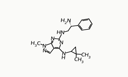 Cn1ncc2c(NC3CC3(C)C)nc(NC[C@H](N)c3ccccc3)nc21